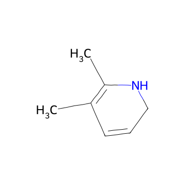 CC1=C(C)NCC=C1